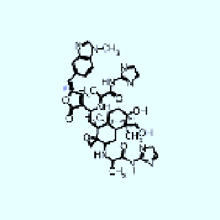 CC(NC(CC1C2(CO2)C(NC(C)C(=O)NC2=NCC=N2)CC2[C@]1(C)CC[C@@H](O)[C@@]2(C)CO)C1=C/C(=C\c2ccc3c(c2)ncn3C)OC1=O)C(=O)NC1=NCC=N1